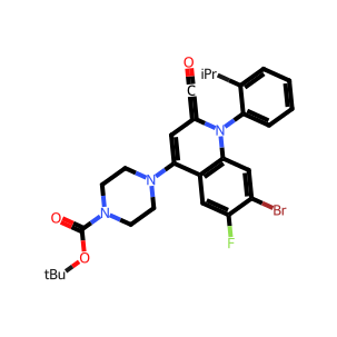 CC(C)c1ccccc1N1C(=C=O)C=C(N2CCN(C(=O)OC(C)(C)C)CC2)c2cc(F)c(Br)cc21